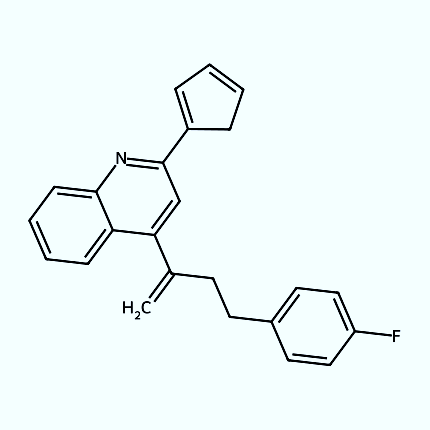 C=C(CCc1ccc(F)cc1)c1cc(C2=CC=CC2)nc2ccccc12